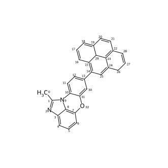 Cc1nc2cccc3c2n1-c1ccc(C2=C4C=CC=C5C=CC6=C(C(=C2)CC=C6)C54)cc1O3